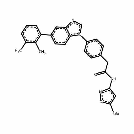 Cc1cccc(-c2ccc3c(c2)ncn3-c2ccc(CC(=O)Nc3cc(C(C)(C)C)on3)cc2)c1C